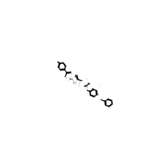 COC(=O)[C@H](Cc1ccc(OCc2ccccc2)cc1)NC(=O)c1cn2cc(-c3ccc(Cl)cc3)cnc2n1